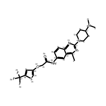 Cc1nc(N2CCC(N(C)C)CC2)nc2ccc(NC(=O)COc3csc(C(F)(F)F)c3)cc12